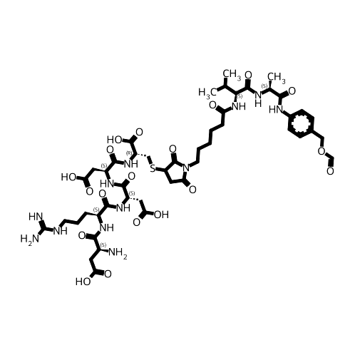 CC(C)[C@H](NC(=O)CCCCCN1C(=O)CC(SC[C@H](NC(=O)[C@H](CC(=O)O)NC(=O)[C@H](CC(=O)O)NC(=O)[C@H](CCCNC(=N)N)NC(=O)[C@@H](N)CC(=O)O)C(=O)O)C1=O)C(=O)N[C@@H](C)C(=O)Nc1ccc(COC=O)cc1